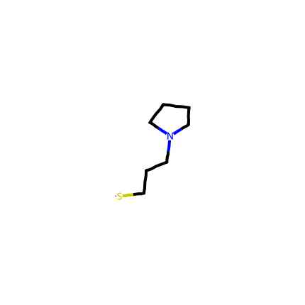 [S]CCCN1CCCC1